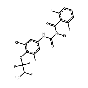 CCN(C(=O)Nc1cc(Cl)c(OC(F)(F)C(F)C(F)(F)F)c(Cl)c1)C(=O)c1c(F)cccc1F